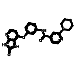 O=C(Nc1cccc(Oc2ccnc3[nH]c(=O)[nH]c23)c1)c1ccnc(N2CCSCC2)c1